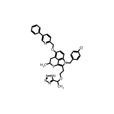 CC1Cc2c(OCc3ccc(-c4ccccc4)cn3)ccc3c2c(c(CCOC(C)c2nnn[nH]2)n3Cc2ccc(Cl)cc2)S1